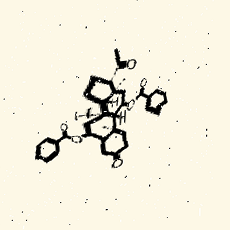 CC(=O)[C@H]1CC[C@H]2[C@@H]3CC(OC(=O)c4ccccc4)C4CC(=O)CC[C@]4(C)[C@H]3C(OC(=O)c3ccccc3)C[C@]12C